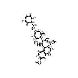 COc1ccc2c(NCc3c(F)cc(SCc4ccccc4)cc3F)c([N+](=O)[O-])cnc2c1